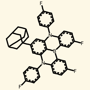 Fc1ccc(N2c3ccc(F)cc3B3c4cc(F)ccc4N(c4ccc(F)cc4)c4cc(C56CC7CC(CC(C7)C5)C6)cc2c43)cc1